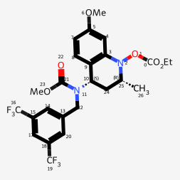 CCOC(=O)ON1c2cc(OC)ccc2[C@@H](N(Cc2cc(C(F)(F)F)cc(C(F)(F)F)c2)C(=O)OC)C[C@H]1C